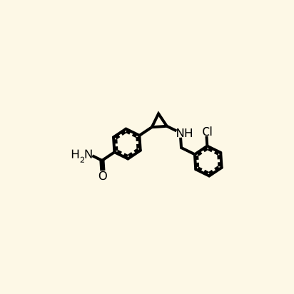 NC(=O)c1ccc(C2CC2NCc2ccccc2Cl)cc1